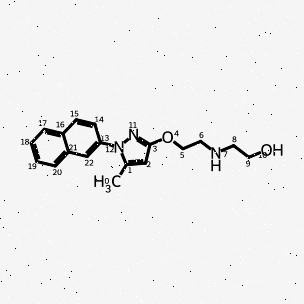 Cc1cc(OCCNCCO)nn1-c1ccc2ccccc2c1